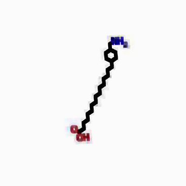 NCC1CCC(CCCCCCCCCCCCCCCC(=O)O)CC1